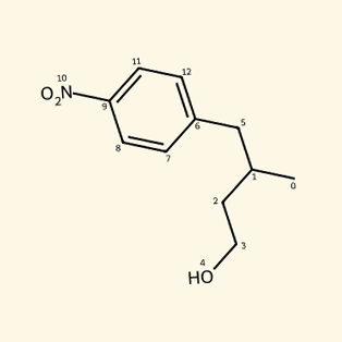 CC(CCO)Cc1ccc([N+](=O)[O-])cc1